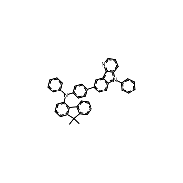 CC1(C)c2ccccc2-c2c(N(c3ccccc3)c3ccc(-c4ccc5c(c4)c4ncccc4n5-c4ccccc4)cc3)cccc21